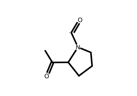 CC(=O)C1CCCN1[C]=O